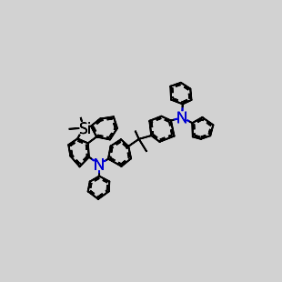 CC(C)(c1ccc(N(c2ccccc2)c2ccccc2)cc1)c1ccc(N(c2ccccc2)c2cccc3c2-c2ccccc2[Si]3(C)C)cc1